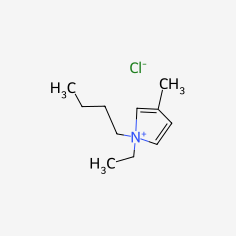 CCCC[N+]1(CC)C=CC(C)=C1.[Cl-]